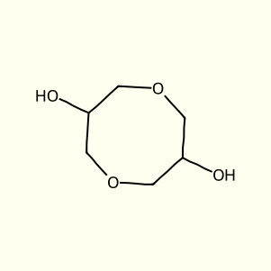 OC1COCC(O)COC1